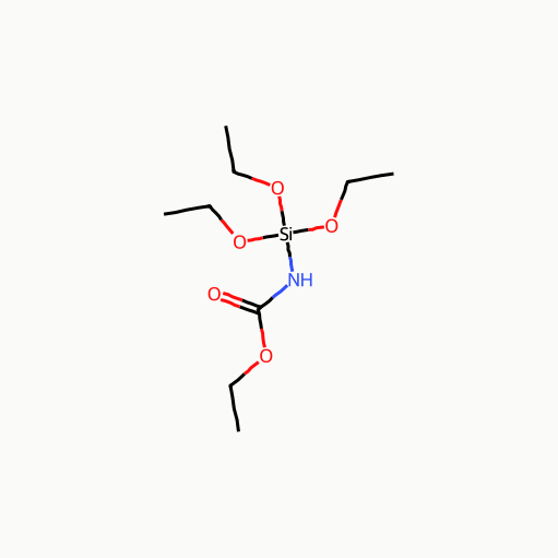 CCOC(=O)N[Si](OCC)(OCC)OCC